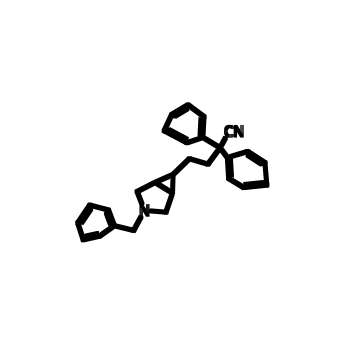 N#CC(CCC1C2CN(Cc3ccccc3)CC12)(c1ccccc1)c1ccccc1